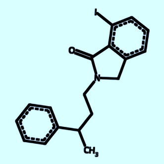 CC(CCN1Cc2cccc(I)c2C1=O)c1ccccc1